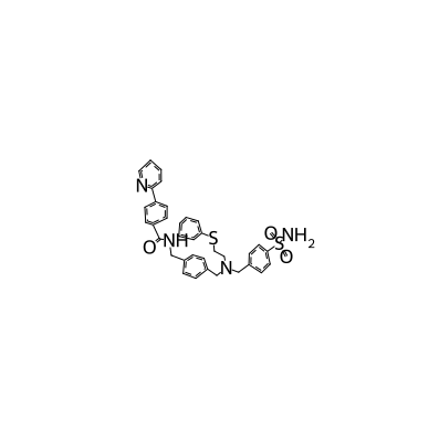 NS(=O)(=O)c1ccc(CN(CCSc2ccccc2)Cc2ccc(CNC(=O)c3ccc(-c4ccccn4)cc3)cc2)cc1